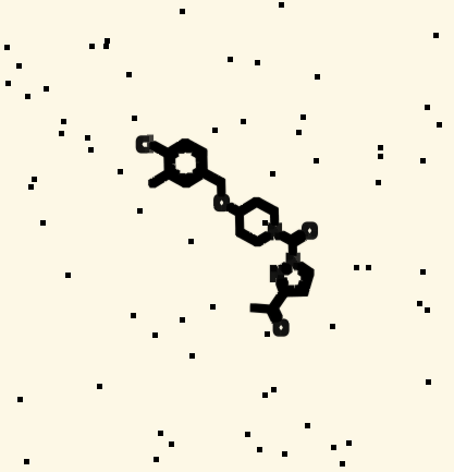 CC(=O)c1ccn(C(=O)N2CCC(OCc3ccc(Cl)c(C)c3)CC2)n1